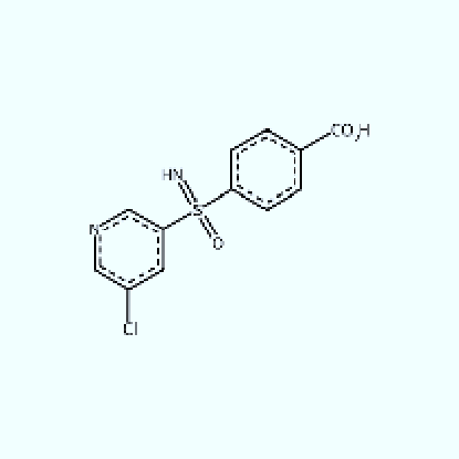 N=S(=O)(c1ccc(C(=O)O)cc1)c1cncc(Cl)c1